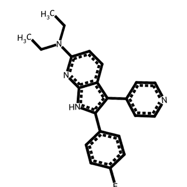 CCN(CC)c1ccc2c(-c3ccncc3)c(-c3ccc(F)cc3)[nH]c2n1